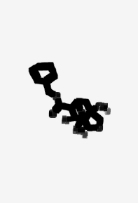 B[C@@H]1OC2CC3(C)COC1C3CC2C(=O)OCc1ccccc1